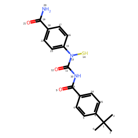 CC(C)(C)c1ccc(C(=O)NC(=O)N(S)c2ccc(C(N)=O)cc2)cc1